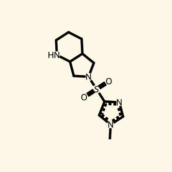 Cn1cnc(S(=O)(=O)N2CC3CCCNC3C2)c1